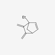 C=C1C(=C)C2(CC)C=CC1C2